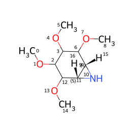 COC1C(OC)C(OC)[C@@H]2N[C@@H]2C1OC